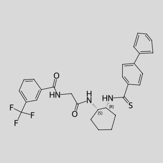 O=C(CNC(=O)c1cccc(C(F)(F)F)c1)N[C@H]1CCCC[C@H]1NC(=S)c1ccc(-c2ccccc2)cc1